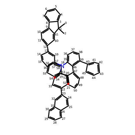 CC1(C)c2ccccc2-c2ccc(-c3cccc(N(c4ccc(-c5ccc6ccccc6c5)cc4)c4cccc(-c5ccccc5)c4-c4ccccc4-c4ccccc4)c3)cc21